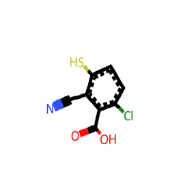 N#Cc1c(S)ccc(Cl)c1C(=O)O